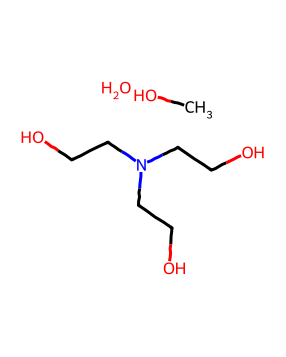 CO.O.OCCN(CCO)CCO